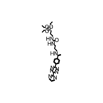 C=C(NCCCNC(=O)NCCC[Si](OCC)(OCC)OCC)c1ccc(-c2nnc(-c3ncccn3)nn2)cc1